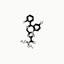 CN(C)C(=O)c1nc2n(n1)-c1ccc(Cl)cc1C(c1ccccc1F)=NC2